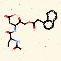 CCC(NC(C)=O)C(=O)NC(CC(=O)O)C(=O)COC(=O)Cc1cccc2ccccc12